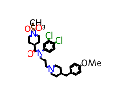 COc1ccc(CC2CCN(CCCN(C(=O)C3CCN(S(C)(=O)=O)CC3)c3ccc(Cl)c(Cl)c3)CC2)cc1